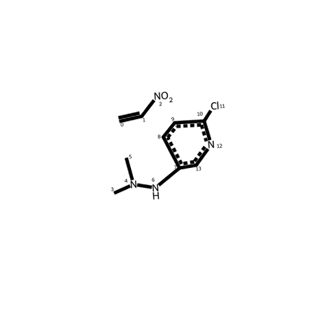 C=C[N+](=O)[O-].CN(C)Nc1ccc(Cl)nc1